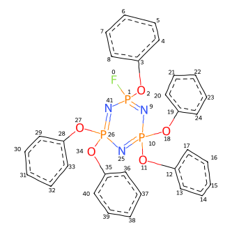 FP1(Oc2ccccc2)=NP(Oc2ccccc2)(Oc2ccccc2)=NP(Oc2ccccc2)(Oc2ccccc2)=N1